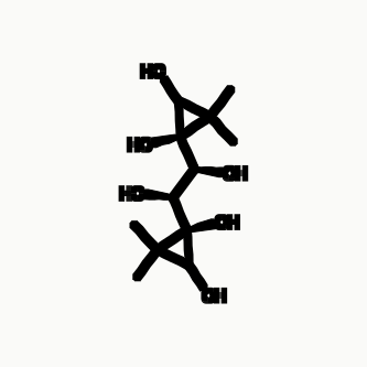 CC1(C)C(O)[C@@]1(O)[C@@H](O)[C@H](O)[C@]1(O)C(O)C1(C)C